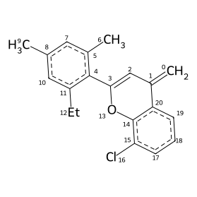 C=C1C=C(c2c(C)cc(C)cc2CC)Oc2c(Cl)cccc21